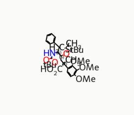 COc1ccc([C@@](C)(C[C@H](O[Si](C)(C)C(C)(C)C)[C@H](Cc2ccccc2)NC(=O)OC(C)(C)C)C(=O)O)c(OC)c1OC